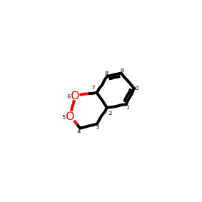 C1=CC2CCOOC2C=C1